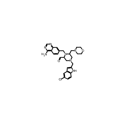 Nc1ncnc2cc(CN3C(C=O)CN(Cc4cc5cc(Cl)ccc5[nH]4)CC3CN3CCOCC3)ccc12